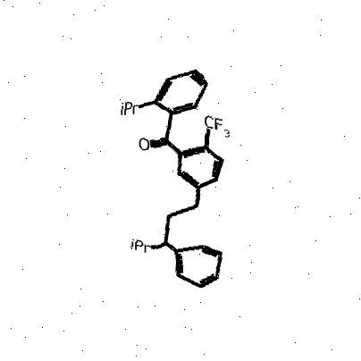 CC(C)c1ccccc1C(=O)c1cc(CCC(c2ccccc2)C(C)C)ccc1C(F)(F)F